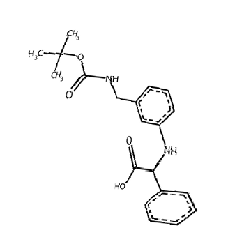 CC(C)(C)OC(=O)NCc1cccc(NC(C(=O)O)c2ccccc2)c1